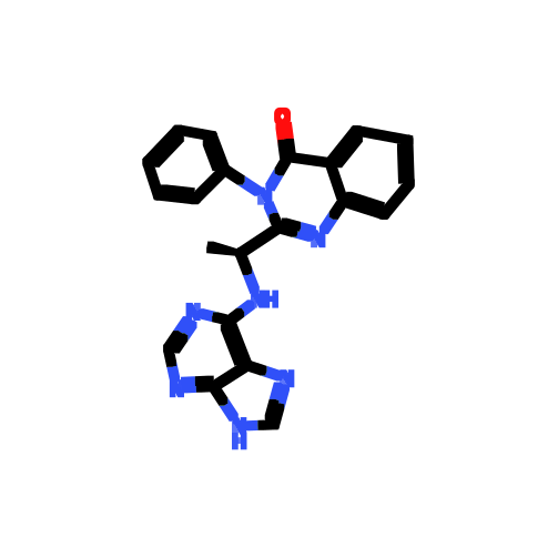 C[C@H](Nc1ncnc2[nH]cnc12)c1nc2ccccc2c(=O)n1-c1ccccc1